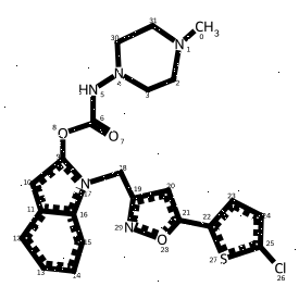 CN1CCN(NC(=O)Oc2cc3ccccc3n2Cc2cc(-c3ccc(Cl)s3)on2)CC1